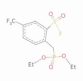 CCOP(=O)(Cc1ccc(C(F)(F)F)cc1S(=O)(=O)F)OCC